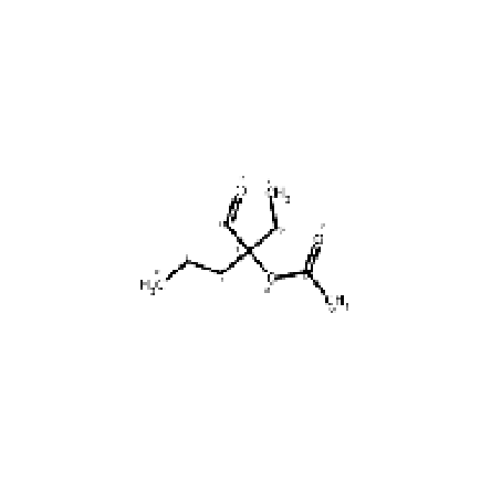 CCCC([C]=O)(CC)OC(C)=O